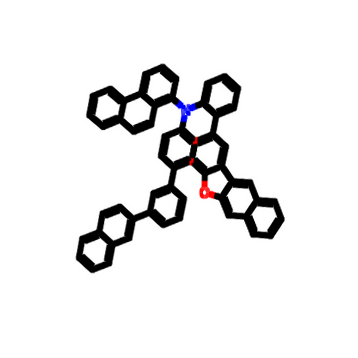 c1cc(-c2ccc(N(c3ccccc3-c3ccc4oc5cc6ccccc6cc5c4c3)c3cccc4c3ccc3ccccc34)cc2)cc(-c2ccc3ccccc3c2)c1